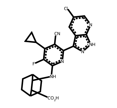 N#Cc1c(-c2n[nH]c3ncc(Cl)cc23)nc(NC2C3CCC(CC3)C2C(=O)O)c(F)c1C1CC1